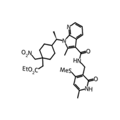 CCOC(=O)CC1(C[N+](=O)[O-])CCC([C@@H](C)n2c(C)c(C(=O)NCc3c(SC)cc(C)[nH]c3=O)c3cccnc32)CC1